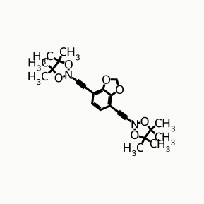 CC1(C)ON(C#Cc2ccc(C#CN3OC(C)(C)C(C)(C)O3)c3c2OCO3)OC1(C)C